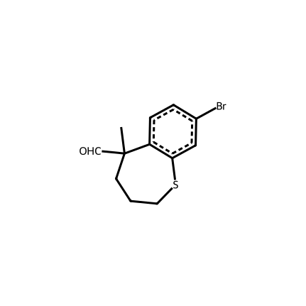 CC1(C=O)CCCSc2cc(Br)ccc21